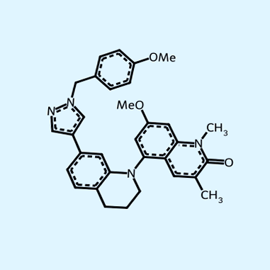 COc1ccc(Cn2cc(-c3ccc4c(c3)N(c3cc(OC)cc5c3cc(C)c(=O)n5C)CCC4)cn2)cc1